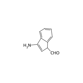 NC1=CC(C=O)c2ccccc21